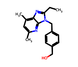 CCc1nc2c(C)cc(C)nc2n1Cc1ccc(CO)cc1